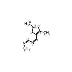 C/N=C\N=C/C1=C(C)CN(C)C1